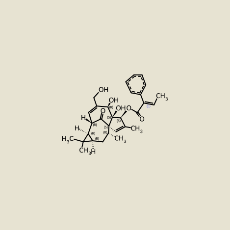 C/C=C(/C(=O)O[C@H]1C(C)=C[C@]23C(=O)[C@@H](C=C(CO)[C@@H](O)[C@]12O)[C@H]1[C@@H](C[C@H]3C)C1(C)C)c1ccccc1